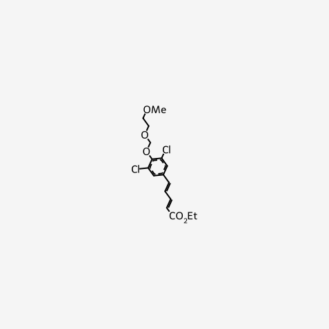 CCOC(=O)C=CC=Cc1cc(Cl)c(OCOCCOC)c(Cl)c1